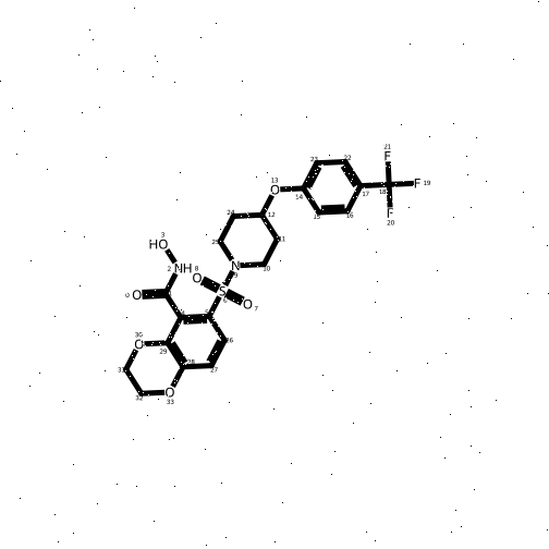 O=C(NO)c1c(S(=O)(=O)N2CCC(Oc3ccc(C(F)(F)F)cc3)CC2)ccc2c1OCCO2